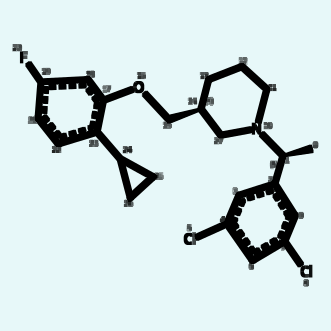 C[C@@H](c1cc(Cl)cc(Cl)c1)N1CCC[C@H](COc2cc(F)ccc2C2CC2)C1